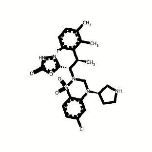 Cc1ccc(F)c([C@@H](C)[C@@H](c2n[nH]c(=O)o2)N2CN([C@@H]3CCNC3)c3cc(Cl)ccc3S2(=O)=O)c1C